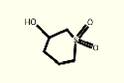 O=S1(=O)CCCC(O)C1